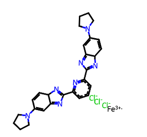 C1=CC2N=C(c3cccc(C4=NC5C=CC(N6CCCC6)=CC5=N4)n3)N=C2C=C1N1CCCC1.[Cl-].[Cl-].[Cl-].[Fe+3]